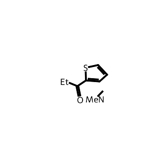 CCC(=O)c1cccs1.CNC